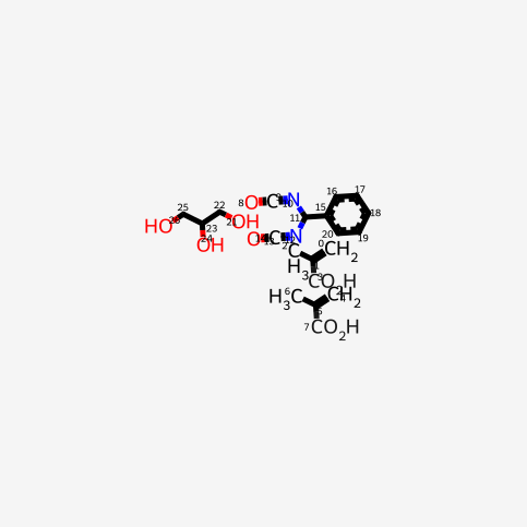 C=C(C)C(=O)O.C=C(C)C(=O)O.O=C=NC(N=C=O)c1ccccc1.OCC(O)CO